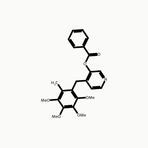 COc1c(C)c(Cc2ccncc2OC(=O)c2ccccc2)c(OC)c(OC)c1OC